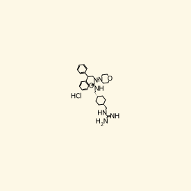 Cl.N=C(N)NC[C@H]1CC[C@H](CNC(=O)N(CC(c2ccccc2)c2ccccc2)N2CCOCC2)CC1